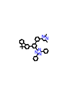 Cc1cc(-c2cccc(-c3cc(-c4ccc5c(c4)-c4ccccc4C5(C)C)cc(-c4nc(-c5ccccc5)nc(-c5ccccc5)n4)c3)c2)nc(C)n1